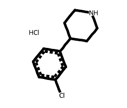 Cl.Clc1cccc(C2CCNCC2)c1